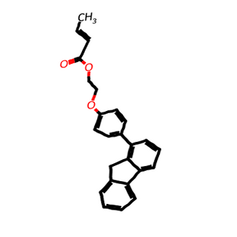 CC=CC(=O)OCCOc1ccc(-c2cccc3c2Cc2ccccc2-3)cc1